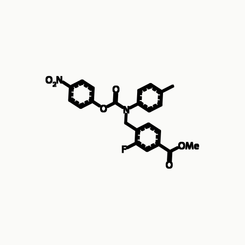 COC(=O)c1ccc(CN(C(=O)Oc2ccc([N+](=O)[O-])cc2)c2ccc(C)cc2)c(F)c1